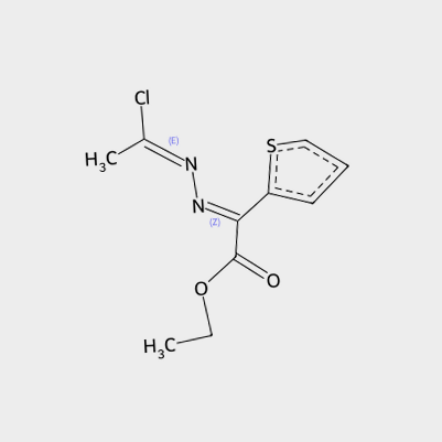 CCOC(=O)/C(=N/N=C(\C)Cl)c1cccs1